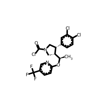 C[C@@H](Oc1ccc(C(F)(F)F)cn1)[C@@H]1CN(C(=O)Cl)C[C@@H]1c1ccc(Cl)c(Cl)c1